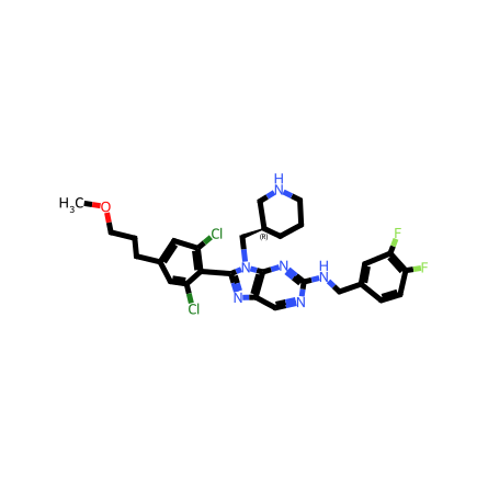 COCCCc1cc(Cl)c(-c2nc3cnc(NCc4ccc(F)c(F)c4)nc3n2C[C@@H]2CCCNC2)c(Cl)c1